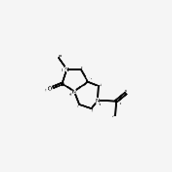 C=C(C)N1CCN2C(=O)N(C)CC2C1